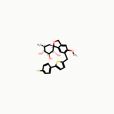 COc1cc2c(cc1Cc1ccc(-c3ccc(F)cc3)s1)[C@@]1(C[C@H](C)[C@@H](O)[C@H](O)[C@H]1O)OC2